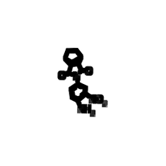 Nc1ccc(N2C(=O)C3C4C=CC(CC4)C3C2=O)cc1[N+](=O)[O-]